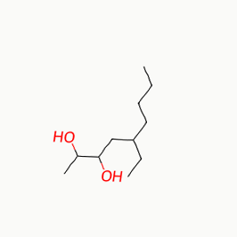 CCCCC(CC)CC(O)C(C)O